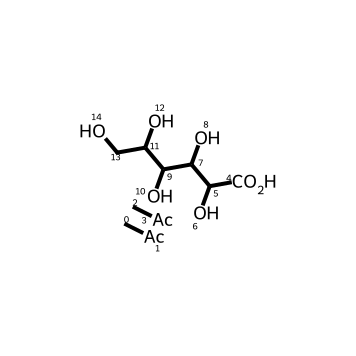 CC(C)=O.CC(C)=O.O=C(O)C(O)C(O)C(O)C(O)CO